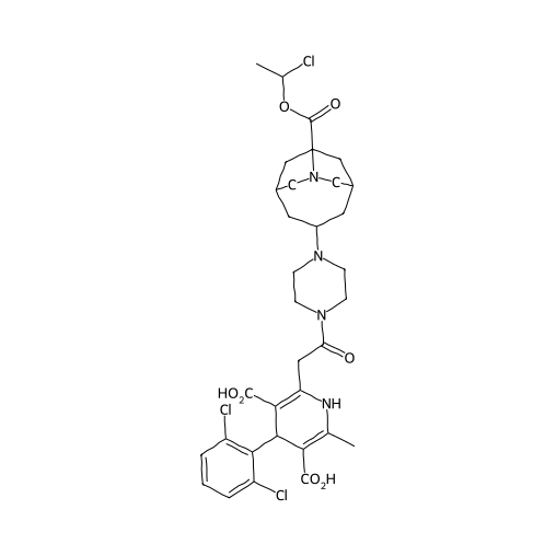 CC1=C(C(=O)O)C(c2c(Cl)cccc2Cl)C(C(=O)O)=C(CC(=O)N2CCN(C3CC4CCCC(C3)CN(C(=O)OC(C)Cl)C4)CC2)N1